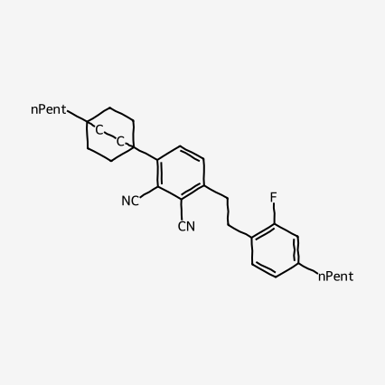 CCCCCc1ccc(CCc2ccc(C34CCC(CCCCC)(CC3)CC4)c(C#N)c2C#N)c(F)c1